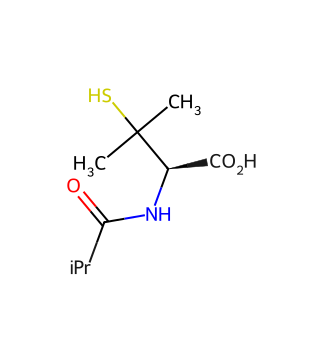 CC(C)C(=O)N[C@H](C(=O)O)C(C)(C)S